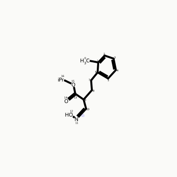 Cc1ccccc1CCC(/C=N\O)C(=O)OC(C)C